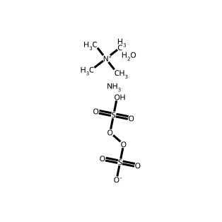 C[N+](C)(C)C.N.O.O=S(=O)([O-])OOS(=O)(=O)O